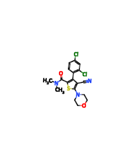 CN(C)C(=O)c1sc(N2CCOCC2)c(C#N)c1-c1ccc(Cl)cc1Cl